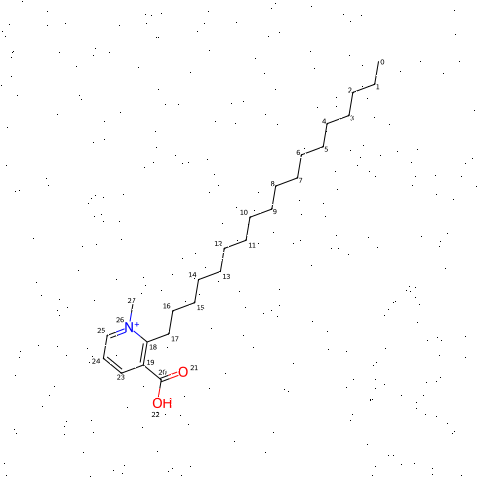 CCCCCCCCCCCCCCCCCCc1c(C(=O)O)ccc[n+]1C